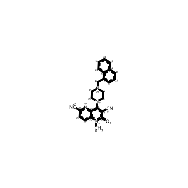 Cn1c(=O)c(C#N)c(N2CCN(Cc3cccc4ccccc34)CC2)c2nc(C#N)ccc21